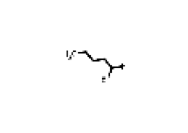 CCCCC(F)Br